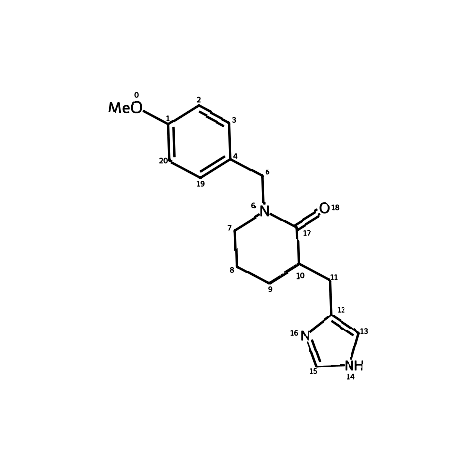 COc1ccc(CN2CCCC(Cc3c[nH]cn3)C2=O)cc1